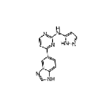 c1cc(Nc2nccc(-c3ccc4[nH]cnc4c3)n2)[nH]n1